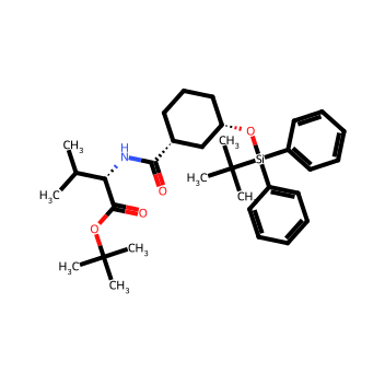 CC(C)[C@H](NC(=O)[C@@H]1CCC[C@H](O[Si](c2ccccc2)(c2ccccc2)C(C)(C)C)C1)C(=O)OC(C)(C)C